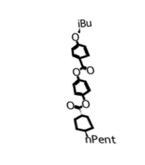 CCCCC[C@H]1CC[C@H](C(=O)Oc2ccc(OC(=O)c3ccc(OC[C@@H](C)CC)cc3)cc2)CC1